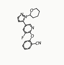 N#Cc1ccccc1Oc1ncc(-c2ccnn2C2CCCCO2)cc1F